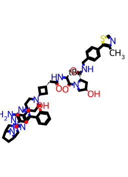 Cc1ncsc1-c1ccc(CNC(=O)[C@@H]2C[C@@H](O)CN2C(=O)[C@@H](NC(=O)C[C@H]2C[C@H](N3CCC(c4cnc(N5C6CCC5CN(c5cc(-c7ccccc7O)nnc5N)C6)nc4)CC3)C2)C(C)(C)C)cc1